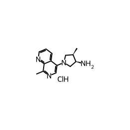 Cc1ncc(N2C[C@@H](C)[C@@H](N)C2)c2cccnc12.Cl